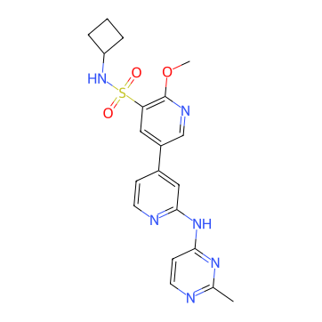 COc1ncc(-c2ccnc(Nc3ccnc(C)n3)c2)cc1S(=O)(=O)NC1CCC1